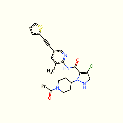 Cc1cc(C#Cc2cccs2)cnc1NC(=O)C1=C(Cl)CNN1C1CCN(C(=O)C(C)C)CC1